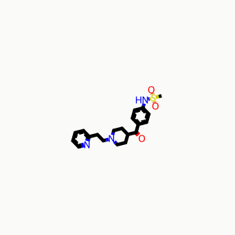 CS(=O)(=O)Nc1ccc(C(=O)C2CCN(CCc3ccccn3)CC2)cc1